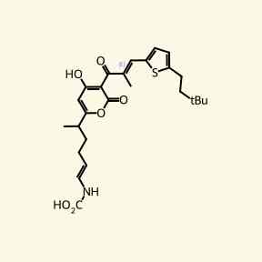 C/C(=C\c1ccc(CCC(C)(C)C)s1)C(=O)c1c(O)cc(C(C)CCC=CNC(=O)O)oc1=O